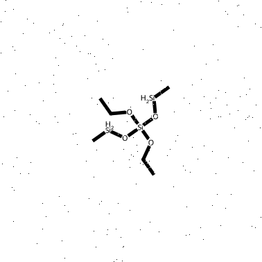 CCO[Si](OCC)(O[SiH2]C)O[SiH2]C